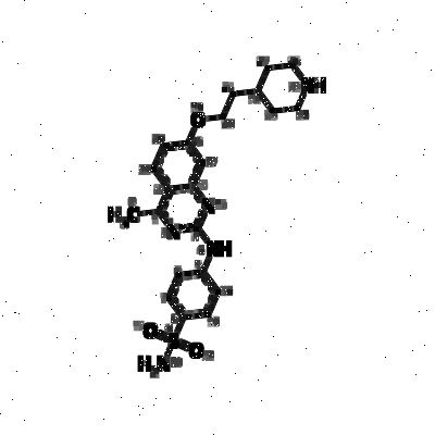 Cc1nc(Nc2ccc(S(N)(=O)=O)cc2)nc2cc(OCCC3CCNCC3)ccc12